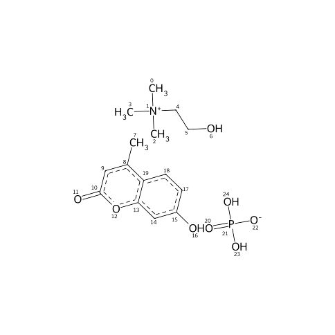 C[N+](C)(C)CCO.Cc1cc(=O)oc2cc(O)ccc12.O=P([O-])(O)O